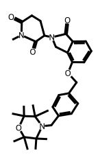 CN1C(=O)CCC(N2Cc3c(OCc4ccc(CN5C(C)(C)C(C)(C)OC(C)(C)C5(C)C)cc4)cccc3C2=O)C1=O